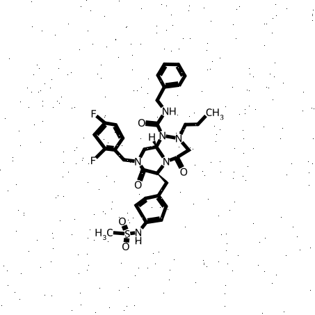 CCCN1CC(=O)N2[C@@H](Cc3ccc(NS(C)(=O)=O)cc3)C(=O)N(Cc3ccc(F)cc3F)C[C@@H]2N1C(=O)NCc1ccccc1